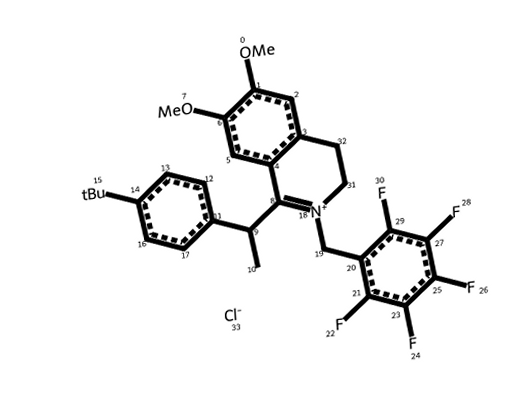 COc1cc2c(cc1OC)C(C(C)c1ccc(C(C)(C)C)cc1)=[N+](Cc1c(F)c(F)c(F)c(F)c1F)CC2.[Cl-]